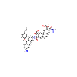 CCCc1ccc(Oc2c3ccc(NC)cc3cc3cc(NC(=O)c4cc5ccc6cc(C(=O)NC)c(C(=O)O)cc6c5cc4C(=O)O)ccc23)cc1